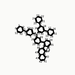 c1ccc(-c2ccc(N(c3cc(-c4ccccc4)cc(-c4ccccc4)c3)c3cccc(-c4cccc5oc6c7ccccc7ccc6c45)c3)cc2)cc1